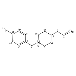 O=CCC1CCN(Cc2ccc(F)cc2)CC1